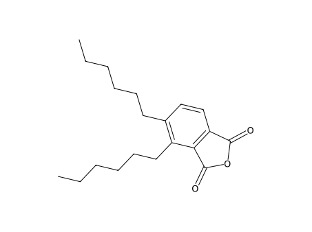 CCCCCCc1ccc2c(c1CCCCCC)C(=O)OC2=O